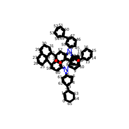 C1=CC(c2ccc(N(c3ccc(-c4ccccc4)cc3)c3ccc(-c4cccc5cccc(-c6ccc7c8ccccc8n(-c8cccc(-c9ccccc9)c8)c7c6)c45)cc3)cc2)=CCC1